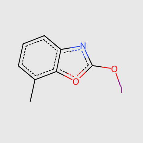 Cc1cccc2nc(OI)oc12